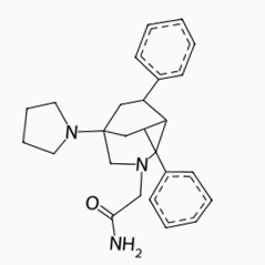 NC(=O)CN1CC2C(c3ccccc3)CC(N3CCCC3)(CC2c2ccccc2)C1